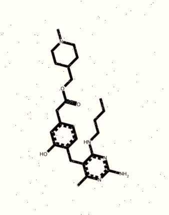 CCCCNc1nc(N)nc(C)c1Cc1ccc(CC(=O)OCC2CCN(C)CC2)cc1O